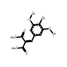 CCCOc1cc(C=C(C(=O)OC)C(=O)OC)cc(OCCC)c1O